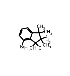 CC1(C)c2cccc(Br)c2C(C)(C)C1(C)C